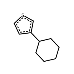 c1cc([C]2CCCCC2)cs1